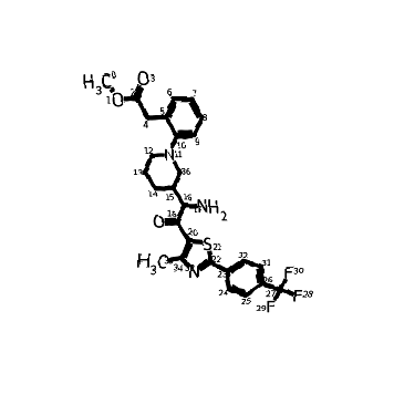 COC(=O)Cc1ccccc1N1CCCC(C(N)C(=O)c2sc(-c3ccc(C(F)(F)F)cc3)nc2C)C1